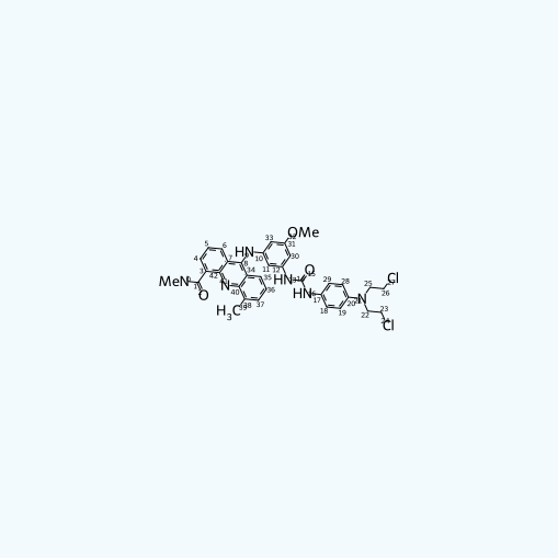 CNC(=O)c1cccc2c(Nc3cc(NC(=O)Nc4ccc(N(CCCl)CCCl)cc4)cc(OC)c3)c3cccc(C)c3nc12